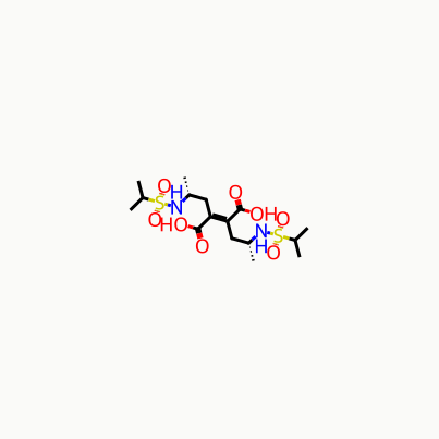 CC(C)S(=O)(=O)N[C@H](C)C/C(C(=O)O)=C(/C[C@@H](C)NS(=O)(=O)C(C)C)C(=O)O